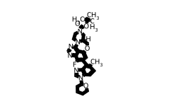 Cc1ccc2c(ncn2C2CCCCO2)c1-c1cc2c3c(ncnc3c1F)N1CCN(C(=O)OC(C)(C)C)C[C@H]1CO2